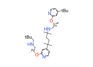 C[C@H](CNCC(C)(C)C)Oc1cc(C(C)(C)CCC(C)(C)NC[C@H](C)Oc2cc(C(C)(C)C)ccn2)ccn1